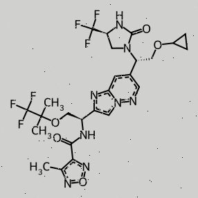 Cc1nonc1C(=O)N[C@@H](COC(C)(C)C(F)(F)F)c1cn2ncc([C@@H](COC3CC3)N3C[C@@H](C(F)(F)F)NC3=O)cc2n1